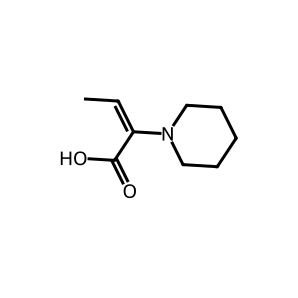 CC=C(C(=O)O)N1CCCCC1